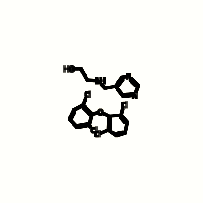 Clc1cccc(Cl)c1Oc1c(Cl)cccc1Cl.OCCNCc1cncnc1